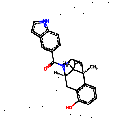 CC12CCN(C(=O)c3ccc4[nH]ccc4c3)[C@H](Cc3c(O)cccc31)C2(C)C